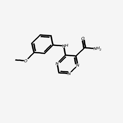 COc1cccc(Nc2ncnnc2C(N)=O)c1